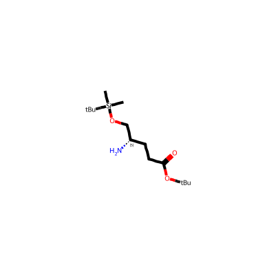 CC(C)(C)OC(=O)CC[C@H](N)CO[Si](C)(C)C(C)(C)C